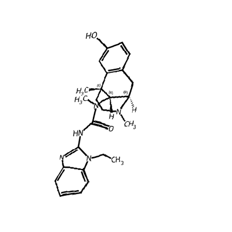 CCn1c(NC(=O)N(C)[C@H]2[C@H]3Cc4ccc(O)cc4[C@@]2(C)CCN3C)nc2ccccc21